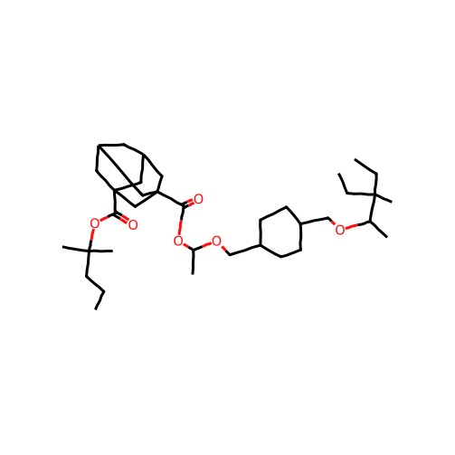 CCCC(C)(C)OC(=O)C12CC3CC(CC(C(=O)OC(C)OCC4CCC(COC(C)C(C)(CC)CC)CC4)(C3)C1)C2